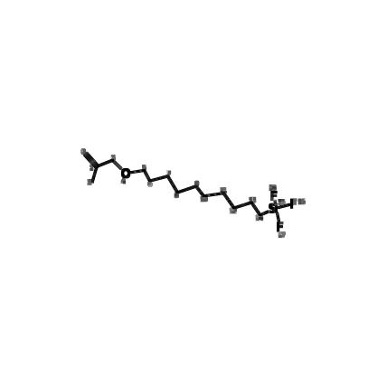 C=C(C)COCCCCCCCCCC[Si](F)(F)F